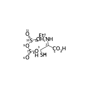 CCNC(CS)C(=O)O.O=S(O)OS(=O)O